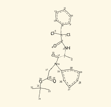 CC(NC(=O)C(Cl)(Cl)c1ccccc1)C(=O)N(CC(=O)OC(C)(C)C)c1ccccc1